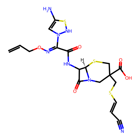 C=CCON=C(C(=O)NC1C(=O)N2CC(CSC=CC#N)(C(=O)O)CS[C@H]12)N1C=C(N)SN1